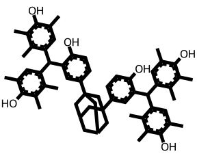 Cc1cc(C(c2cc(C34CC5CC(C3)CC(c3ccc(O)c(C(c6cc(C)c(O)c(C)c6C)c6cc(C)c(O)c(C)c6C)c3)(C5)C4)ccc2O)c2cc(C)c(O)c(C)c2C)c(C)c(C)c1O